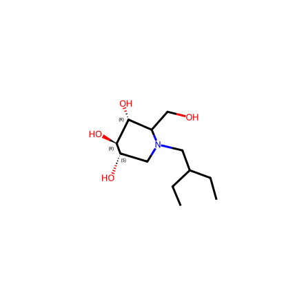 CCC(CC)CN1C[C@H](O)[C@@H](O)[C@H](O)C1CO